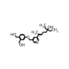 CCC(O)(CC)CC/C=C(\C)c1cncc(COc2ccc(CO)c(CO)c2)c1